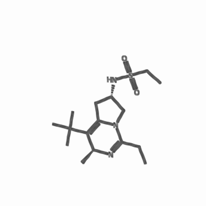 CCC1=N[C@@H](C)C(C(C)(C)C)=C2C[C@H](NS(=O)(=O)CC)CN12